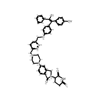 CC/C(=C(\c1ccc(O)cc1)c1ccc(OCc2ccc(CN3CCN(c4ccc5c(c4)CN(C4CCC(=O)NC4=O)C5=O)CC3)nn2)cc1)c1ccccc1